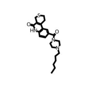 CCCCCCN1CCN(C(=O)c2ccc3[nH]c(=O)c4c(c3c2)CCSC4)CC1